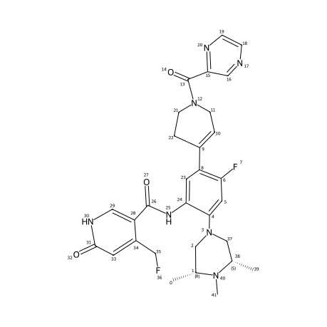 C[C@@H]1CN(c2cc(F)c(C3=CCN(C(=O)c4cnccn4)CC3)cc2NC(=O)c2c[nH]c(=O)cc2CF)C[C@H](C)N1C